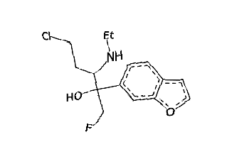 CCNC(CCCl)C(O)(CF)c1ccc2ccoc2c1